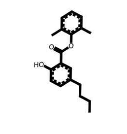 CCCCc1ccc(O)c(C(=O)Oc2c(C)cccc2C)c1